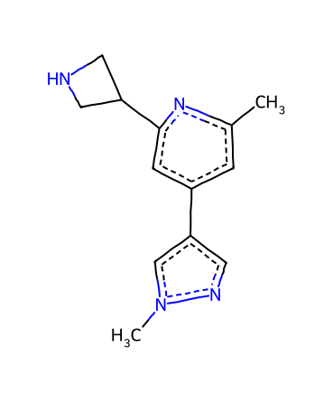 Cc1cc(-c2cnn(C)c2)cc(C2CNC2)n1